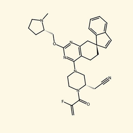 C=C(F)C(=O)N1CCN(c2nc(OC[C@@H]3CCCN3C)nc3c2CC[C@@]2(C=Cc4ccccc42)C3)C[C@@H]1CC#N